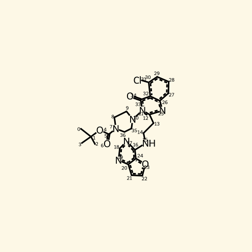 CC(C)(C)OC(=O)N1CCN(n2c(CCNc3ncnc4ccoc34)nc3cccc(Cl)c3c2=O)CC1